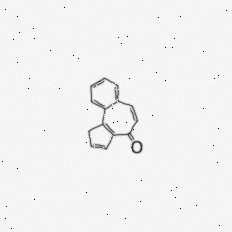 O=c1ccc2ccccc2c2c1C=CC2